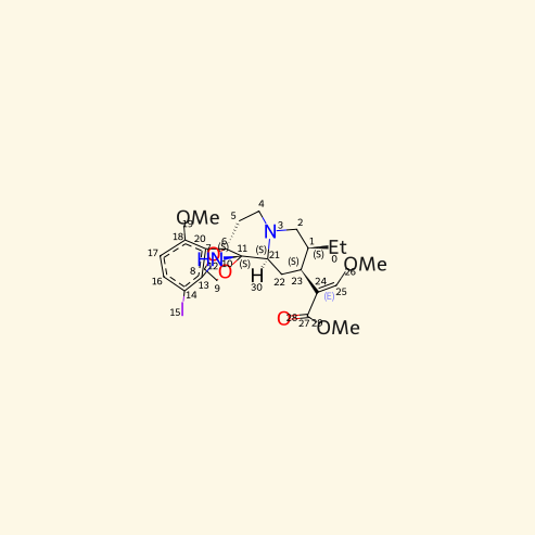 CC[C@@H]1CN2CC[C@@]34OCCO[C@@]3(Nc3c(I)ccc(OC)c34)[C@@H]2C[C@@H]1/C(=C\OC)C(=O)OC